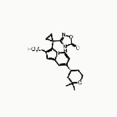 CC1(C)C[C@@H](c2ccn3c(C4(c5noc(=O)[nH]5)CC4)c(C(=O)O)cc3c2)CCO1